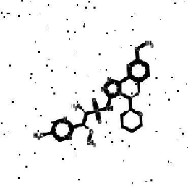 COc1ccc2c(n1)-c1nnc(NS(=O)(=O)[C@@H](C)[C@H](OC)c3ncc(C)cn3)n1[C@@H]([C@@H]1CCCCO1)C2